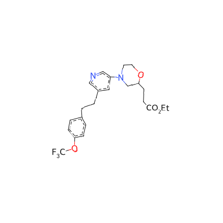 CCOC(=O)CCC1CN(c2cncc(CCc3ccc(OC(F)(F)F)cc3)c2)CCO1